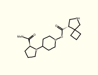 CNC(=O)[C@@H]1CCCN1C1CCN(OC(=O)[C@@H]2CNCC23CCC3)CC1